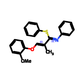 COc1ccccc1O/C=C(C)/C(=N/c1ccccc1)Sc1ccccc1